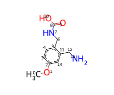 COc1ccc(CNC(=O)O)c(CN)c1